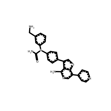 NCc1cccc(N(C(N)=O)c2ccc(-c3csc4c(-c5ccncc5)cnc(N)c34)cc2)c1